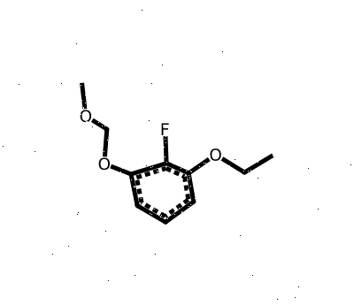 CCOc1cccc(OCOC)c1F